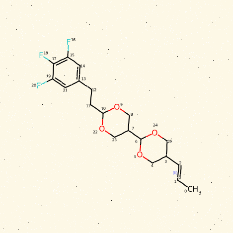 C/C=C/C1COC(C2COC(CCc3cc(F)c(F)c(F)c3)OC2)OC1